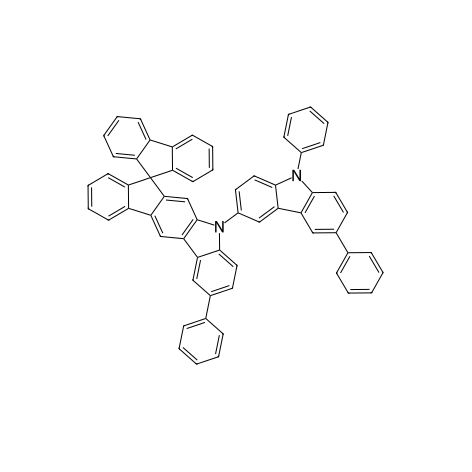 c1ccc(-c2ccc3c(c2)c2cc(-n4c5ccc(-c6ccccc6)cc5c5cc6c(cc54)C4(c5ccccc5-c5ccccc54)c4ccccc4-6)ccc2n3-c2ccccc2)cc1